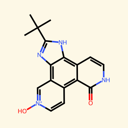 CC(C)(C)c1nc2c3c[n+](O)ccc3c3c(=O)[nH]ccc3c2[nH]1